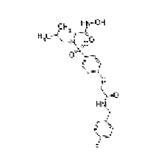 CC(C)CN(CC(=O)NO)S(=O)(=O)c1ccc(OCC(=O)NCc2ccc(F)cc2)cc1